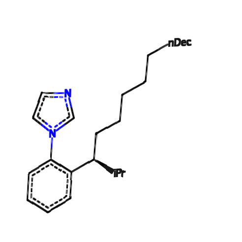 CCCCCCCCCCCCCCC[C@H](c1ccccc1-n1ccnc1)C(C)C